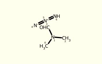 CN(C)C=O.[N-]=[N+]=N